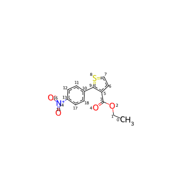 CCOC(=O)c1ccsc1-c1ccc([N+](=O)[O-])cc1